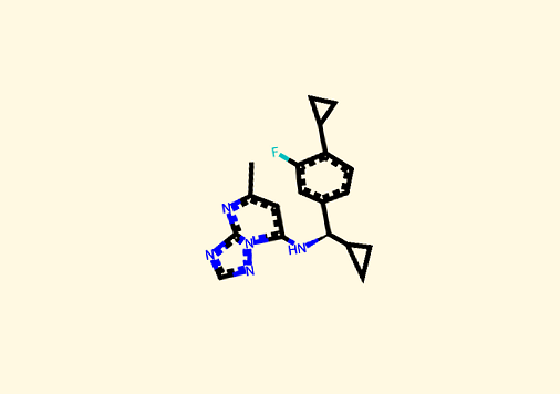 Cc1cc(N[C@@H](c2ccc(C3CC3)c(F)c2)C2CC2)n2ncnc2n1